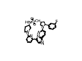 CS(=O)(=O)N[C@@H]1CCN(c2cccc(-c3cnc4ccc(N5CCCC5c5cccc(F)c5)nn34)n2)C1